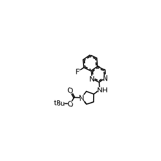 CC(C)(C)OC(=O)N1CCC(Nc2ncc3cccc(F)c3n2)C1